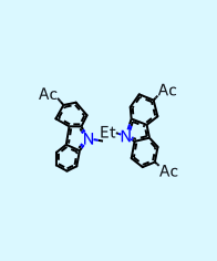 CC(=O)c1ccc2c(c1)c1ccccc1n2C.CCn1c2ccc(C(C)=O)cc2c2cc(C(C)=O)ccc21